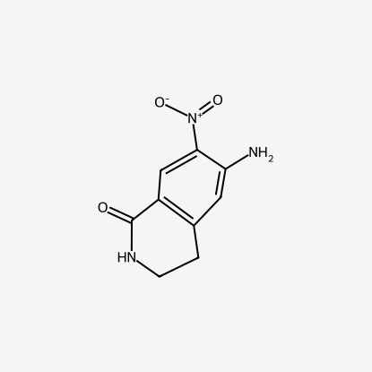 Nc1cc2c(cc1[N+](=O)[O-])C(=O)NCC2